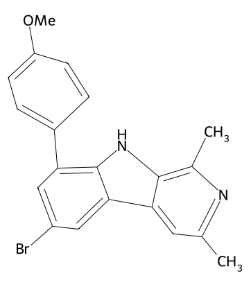 COc1ccc(-c2cc(Br)cc3c2[nH]c2c(C)nc(C)cc23)cc1